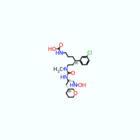 CN(CC[C@@H](CCCNC(=O)O)c1cccc(Cl)c1)C(=O)N[C@H](CNO)C[C@H]1CCCOC1